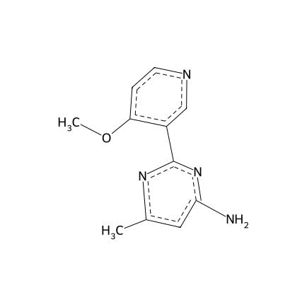 COc1ccncc1-c1nc(C)cc(N)n1